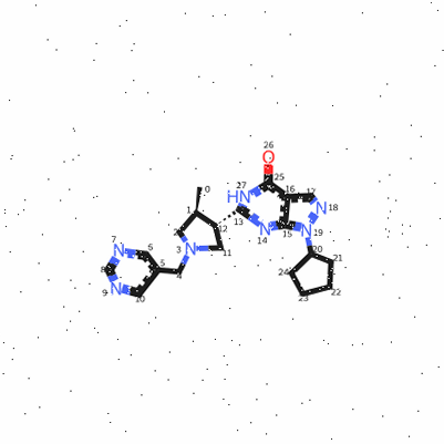 C[C@@H]1CN(Cc2cncnc2)C[C@H]1c1nc2c(cnn2C2CCCC2)c(=O)[nH]1